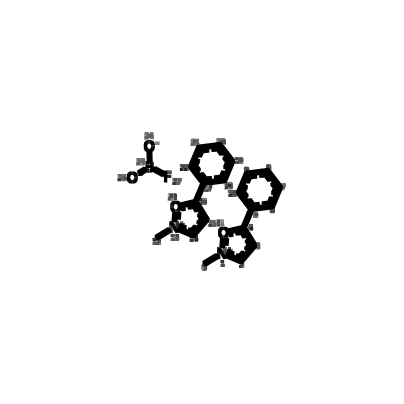 C[n+]1ccc(-c2ccccc2)o1.C[n+]1ccc(-c2ccccc2)o1.[O-]B([O-])F